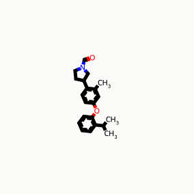 Cc1cc(Oc2ccccc2C(C)C)ccc1C1CCN(C=O)C1